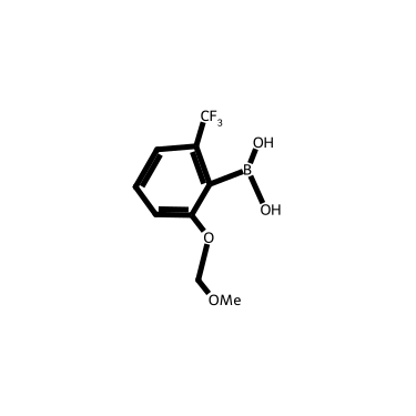 COCOc1cccc(C(F)(F)F)c1B(O)O